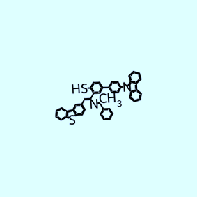 C/C(=N\C(=C/c1ccc2sc3ccccc3c2c1)c1cc(-c2ccc(-n3c4ccccc4c4ccccc43)cc2)ccc1S)c1ccccc1